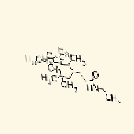 CCNC(=O)CCC1CC(C)(C)N(OC(C)=O)C(C)(C)C1C